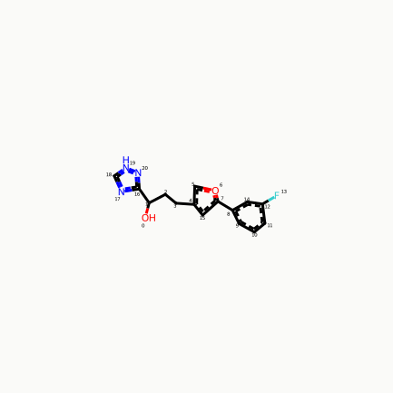 OC(CCc1coc(-c2cccc(F)c2)c1)c1nc[nH]n1